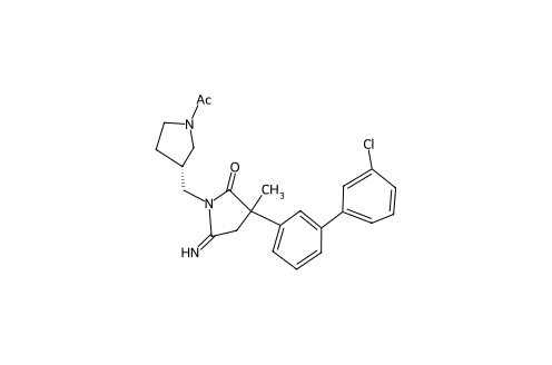 CC(=O)N1CC[C@@H](CN2C(=N)CC(C)(c3cccc(-c4cccc(Cl)c4)c3)C2=O)C1